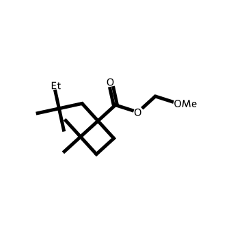 CCC(C)(C)CC1(C(=O)OCOC)CCC1(C)C